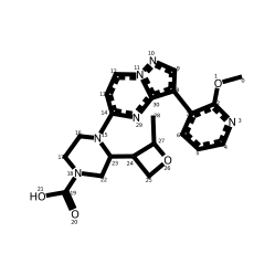 COc1ncccc1-c1cnn2ccc(N3CCN(C(=O)O)CC3C3COC3C)nc12